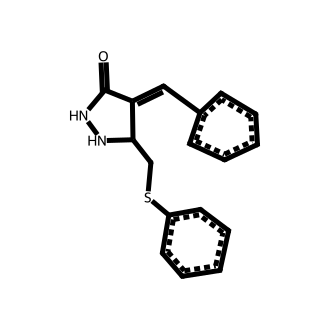 O=C1NNC(CSc2ccccc2)C1=Cc1ccccc1